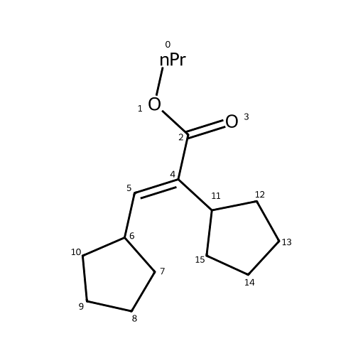 CCCOC(=O)C(=CC1CCCC1)C1CCCC1